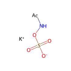 CC(=O)NOS(=O)(=O)[O-].[K+]